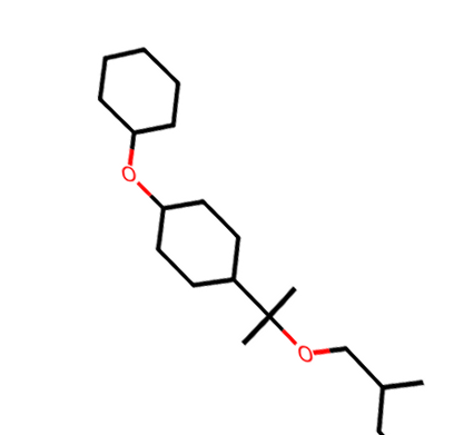 CCC(C)COC(C)(C)C1CCC(OC2CCCCC2)CC1